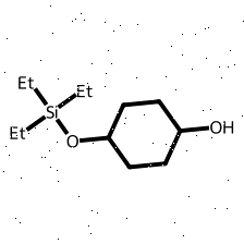 CC[Si](CC)(CC)OC1CCC(O)CC1